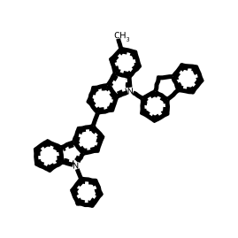 Cc1ccc2c(c1)c1ccc(-c3ccc4c(c3)c3ccccc3n4-c3ccccc3)cc1n2-c1cccc2c1Cc1ccccc1-2